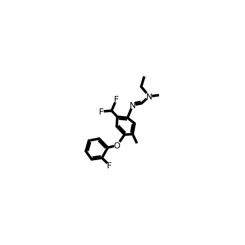 CCN(C)C=Nc1cc(C)c(Oc2ccccc2F)cc1C(F)F